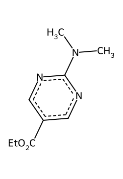 CCOC(=O)c1cnc(N(C)C)nc1